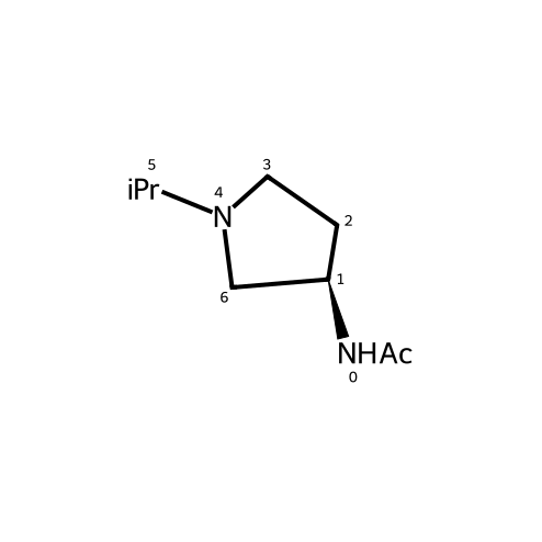 CC(=O)N[C@@H]1CCN(C(C)C)C1